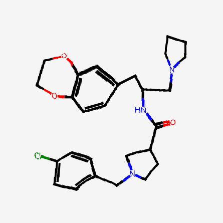 O=C(NC(Cc1ccc2c(c1)OCCO2)CN1CCCC1)C1CCN(Cc2ccc(Cl)cc2)C1